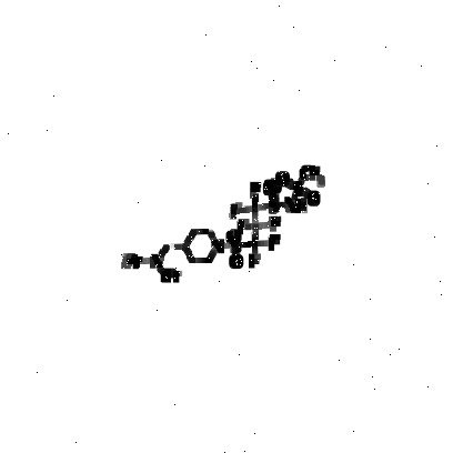 CC(C)N(CC1CCN(S(=O)(=O)C(F)(F)C(F)(F)C(F)(F)S(=O)(=O)NS(=O)(=O)C(F)(F)F)CC1)C(C)C